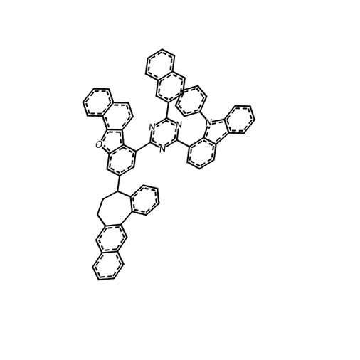 c1ccc(-n2c3ccccc3c3cccc(-c4nc(-c5ccc6ccccc6c5)nc(-c5cc(C6CCc7cc8ccccc8cc7-c7ccccc76)cc6oc7c8ccccc8ccc7c56)n4)c32)cc1